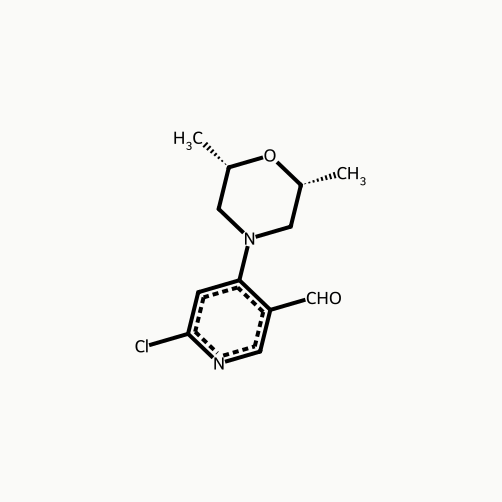 C[C@@H]1CN(c2cc(Cl)ncc2C=O)C[C@H](C)O1